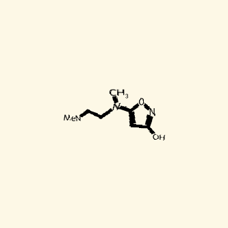 CNCCN(C)c1cc(O)no1